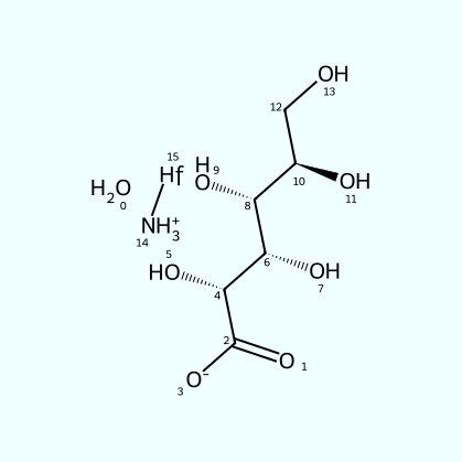 O.O=C([O-])[C@H](O)[C@@H](O)[C@H](O)[C@H](O)CO.[NH3+][Hf]